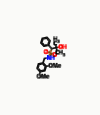 COc1ccc(CNS(=O)(=O)C(c2ccccc2)C(C)(C)O)c(OC)c1